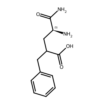 NC(=O)[C@@H](N)CC(Cc1ccccc1)C(=O)O